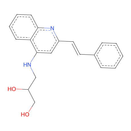 OCC(O)CNc1cc(C=Cc2ccccc2)nc2ccccc12